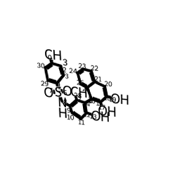 Cc1ccc(S(=O)(=O)Nc2ccc(O)c(-c3c(O)c(O)cc4ccccc34)c2C)cc1